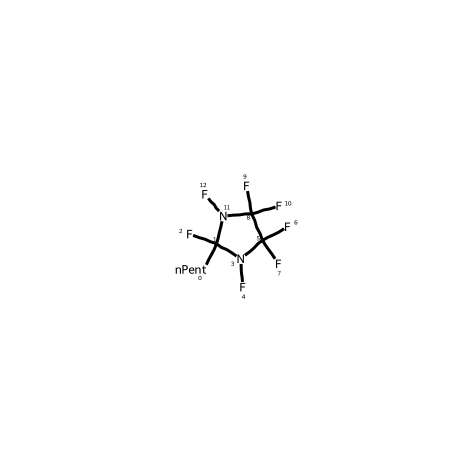 CCCCCC1(F)N(F)C(F)(F)C(F)(F)N1F